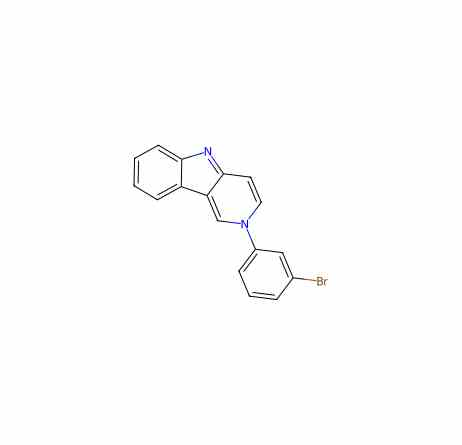 Brc1cccc(-n2ccc3nc4ccccc4c-3c2)c1